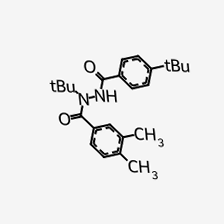 Cc1ccc(C(=O)N(NC(=O)c2ccc(C(C)(C)C)cc2)C(C)(C)C)cc1C